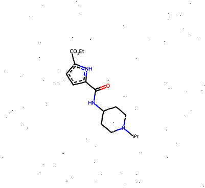 CCOC(=O)c1ccc(C(=O)NC2CCN(C(C)C)CC2)[nH]1